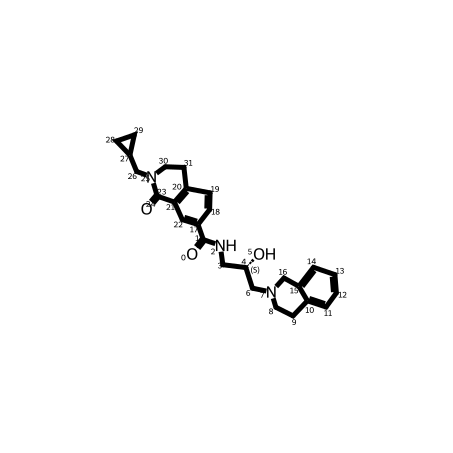 O=C(NC[C@H](O)CN1CCc2ccccc2C1)c1ccc2c(c1)C(=O)N(CC1CC1)CC2